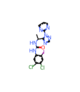 CC(NC(=O)Nc1cc(Cl)c(Cl)cc1I)c1ncnn1-c1ncccn1